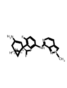 Cn1cc2ccnc(Nc3ccc(F)c([C@@]4(C(F)F)C=C(N)C[C@@H]5C[C@@H]54)c3)c2n1